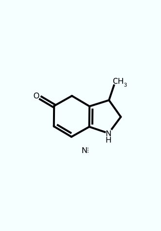 CC1CNC2=C1CC(=O)C=C2.[N]